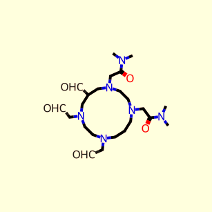 CN(C)C(=O)CN1CCCN(CC=O)CCN(CC=O)CC(C=O)CN(CC(=O)N(C)C)CC1